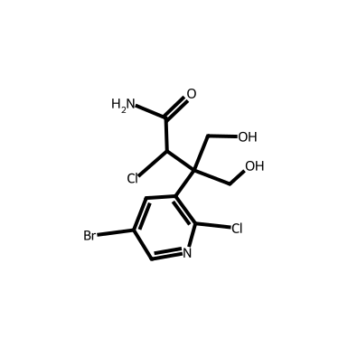 NC(=O)C(Cl)C(CO)(CO)c1cc(Br)cnc1Cl